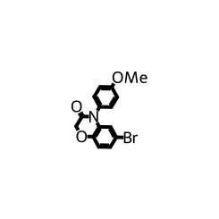 COc1ccc(N2C(=O)COc3ccc(Br)cc32)cc1